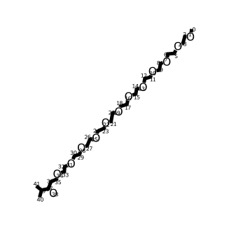 COCCOCCOCCOCCOCCOCCOCCOCCOCCOCCOCCOCCC(=O)C(C)C